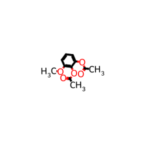 COc1cccc(OC(C)=O)c1OC(C)=O